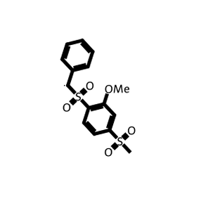 COc1cc(S(C)(=O)=O)ccc1S(=O)(=O)[CH]c1ccccc1